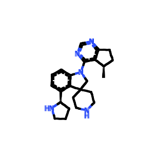 C[C@@H]1CCc2ncnc(N3CC4(CCNCC4)c4c([C@H]5CCCN5)cccc43)c21